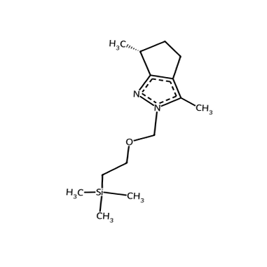 Cc1c2c(nn1COCC[Si](C)(C)C)[C@H](C)CC2